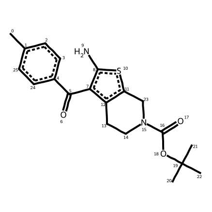 Cc1ccc(C(=O)c2c(N)sc3c2CCN(C(=O)OC(C)(C)C)C3)cc1